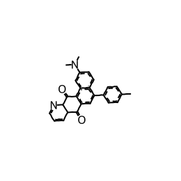 Cc1ccc(-c2cc3c(c4cc(N(C)C)ccc24)C(=O)C2N=CC=CC2C3=O)cc1